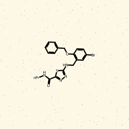 CCCNC(=O)c1nnc(NCc2cc(Br)ccc2OCc2ccccc2)s1